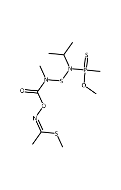 COP(C)(=S)N(SN(C)C(=O)ON=C(C)SC)C(C)C